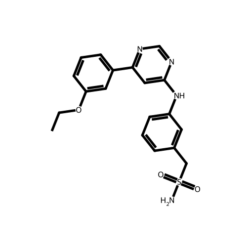 CCOc1cccc(-c2cc(Nc3cccc(CS(N)(=O)=O)c3)ncn2)c1